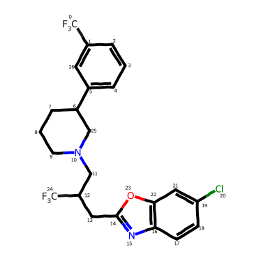 FC(F)(F)c1cccc(C2CCCN(CC(Cc3nc4ccc(Cl)cc4o3)C(F)(F)F)C2)c1